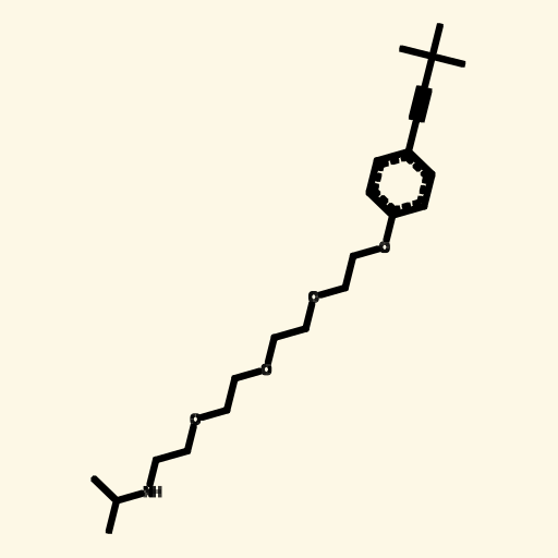 CC(C)NCCOCCOCCOCCOc1ccc(C#CC(C)(C)C)cc1